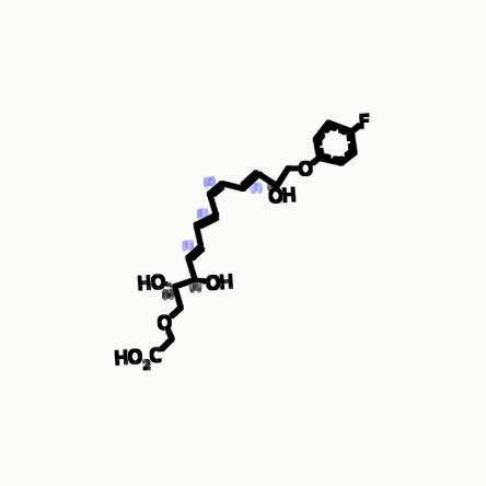 O=C(O)COC[C@H](O)[C@H](O)/C=C/C=C/C=C\C=C\[C@H](O)COc1ccc(F)cc1